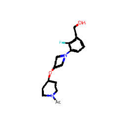 CC(=O)N1CCC(OC2CN(c3cccc(CO)c3F)C2)CC1